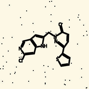 O=c1ccc(-c2cccs2)nn1Cc1cc2cnc(Cl)cc2[nH]1